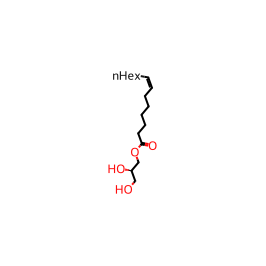 CCCCCC/C=C\CCCCCC(=O)OC[C@H](O)CO